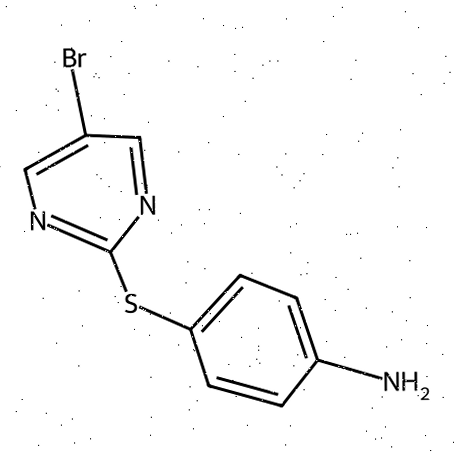 Nc1ccc(Sc2ncc(Br)cn2)cc1